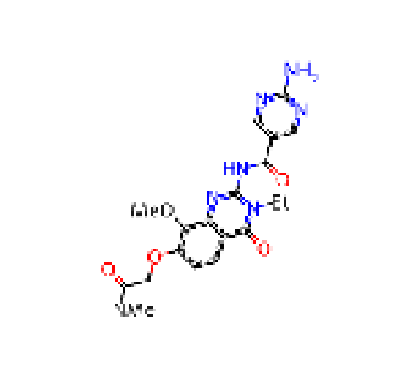 CCn1c(NC(=O)c2cnc(N)nc2)nc2c(OC)c(OCC(=O)NC)ccc2c1=O